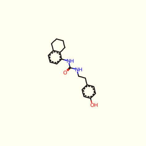 O=C(NCCc1ccc(O)cc1)Nc1cccc2c1CCCC2